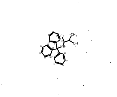 CC(O)C(C)NC(c1ccccc1)(c1ccccc1)c1ccccc1